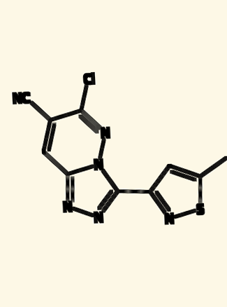 Cc1cc(-c2nnc3cc(C#N)c(Cl)nn23)ns1